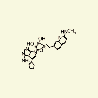 CNc1ccc2ccc(CC[C@H]3O[C@@H](n4cc(C5CCCC5)c5c(N)ncnc54)[C@H](O)[C@@H]3O)cc2n1